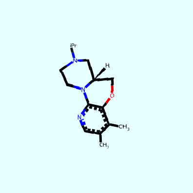 Cc1cnc2c(c1C)OC[C@H]1CN(C(C)C)CCN21